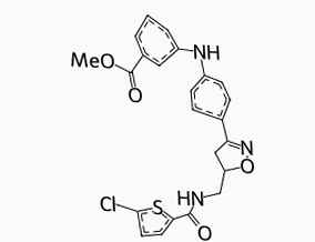 COC(=O)c1cccc(Nc2ccc(C3=NOC(CNC(=O)c4ccc(Cl)s4)C3)cc2)c1